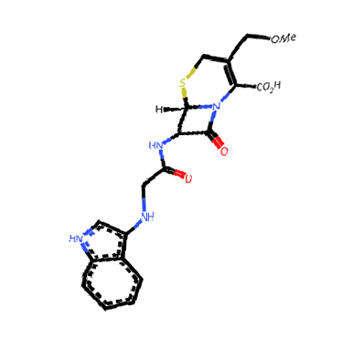 COCC1=C(C(=O)O)N2C(=O)C(NC(=O)CNc3c[nH]c4ccccc34)[C@@H]2SC1